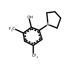 Oc1c(N2CCCC2)cc(C(F)(F)F)cc1C(F)(F)F